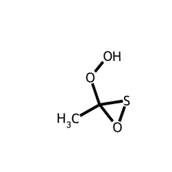 CC1(OO)OS1